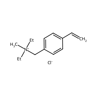 C=Cc1ccc(C[N+](C)(CC)CC)cc1.[Cl-]